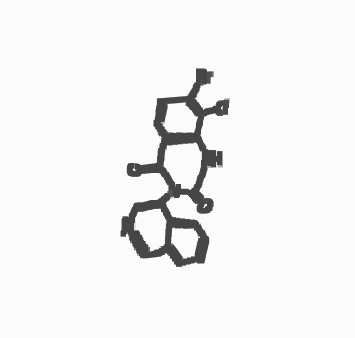 O=c1[nH]c2c(Cl)c(Br)ccc2c(=O)n1-c1cncc2ccccc12